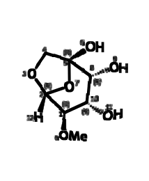 CO[C@H]1[C@@H]2OC[C@@](O)(O2)[C@H](O)[C@@H]1O